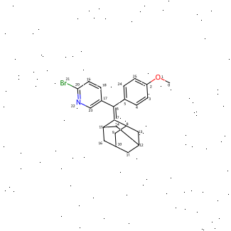 COc1ccc(C(=C2C3CC4CC(C3)CC2C4)c2ccc(Br)nc2)cc1